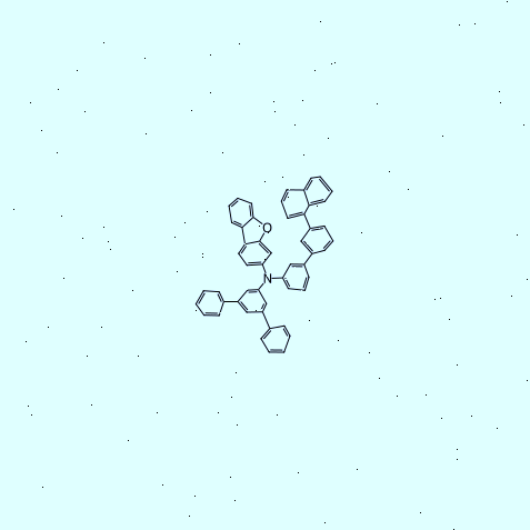 c1ccc(-c2cc(-c3ccccc3)cc(N(c3cccc(-c4cccc(-c5cccc6ccccc56)c4)c3)c3ccc4c(c3)oc3ccccc34)c2)cc1